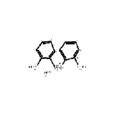 CCCCCCCCc1ccccc1C(=O)[O-].CCCCCCCCc1ccccc1C(=O)[O-].[Pb+2]